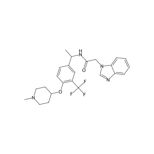 CC(NC(=O)Cn1cnc2ccccc21)c1ccc(OC2CCN(C)CC2)c(C(F)(F)F)c1